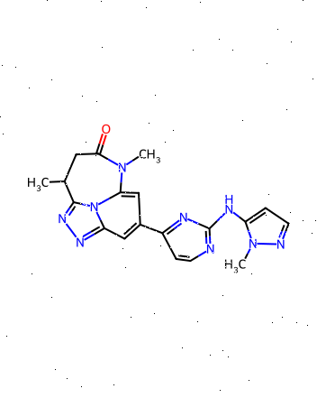 CC1CC(=O)N(C)c2cc(-c3ccnc(Nc4ccnn4C)n3)cc3nnc1n23